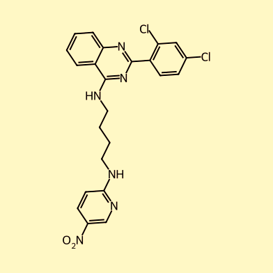 O=[N+]([O-])c1ccc(NCCCCNc2nc(-c3ccc(Cl)cc3Cl)nc3ccccc23)nc1